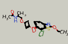 CCOc1nc2ccc(O[C@H]3C[C@@H](OCC(C)NC(C)=O)C3)c(Cl)c2s1